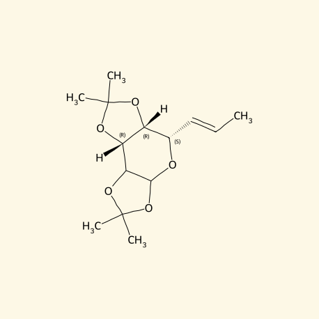 CC=C[C@@H]1OC2OC(C)(C)OC2[C@@H]2OC(C)(C)O[C@H]12